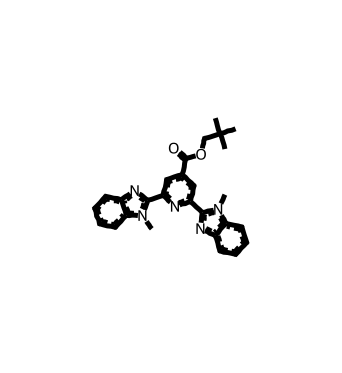 Cn1c(-c2cc(C(=O)OCC(C)(C)C)cc(-c3nc4ccccc4n3C)n2)nc2ccccc21